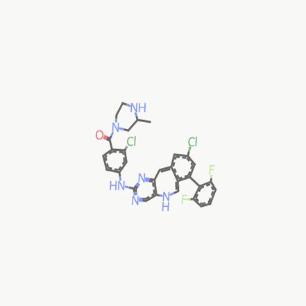 CC1CN(C(=O)c2ccc(Nc3ncc4c(n3)C=c3cc(Cl)cc(-c5c(F)cccc5F)c3=CN4)cc2Cl)CCN1